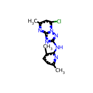 Cc1ccc(C)c(Nc2nc3nc(C)cc(Cl)n3n2)n1